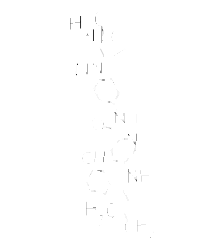 C=C/C=C(\C=C/C)Nc1ccc(NC(=O)c2ccc(N/C(=C/C=C)c3cc(C)ccc3C)cn2)cc1